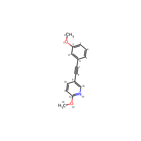 COc1cccc(C#Cc2ccc(OC)nc2)c1